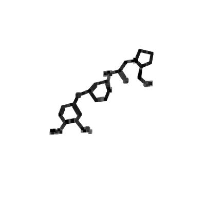 CNc1ccc(Oc2ccnc(NC(=O)CN3CCC[C@H]3CO)c2)cc1[N+](=O)[O-]